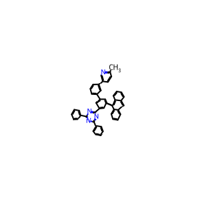 Cc1ccc(-c2cccc(-c3cc(-c4nc(-c5ccccc5)nc(-c5ccccc5)n4)cc(-c4c5ccccc5cc5ccccc45)c3)c2)cn1